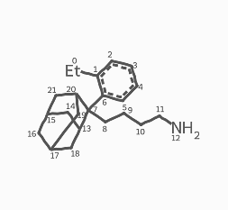 CCc1ccccc1C1(CCCCN)C2CC3CC(C2)CC1C3